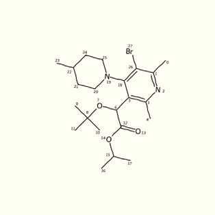 Cc1nc(C)c(C(OC(C)(C)C)C(=O)OC(C)C)c(N2CCC(C)CC2)c1Br